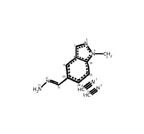 C#N.C#N.Cn1ncc2cc(C=NN)ccc21